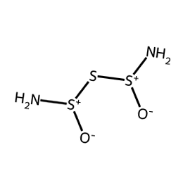 N[S+]([O-])S[S+](N)[O-]